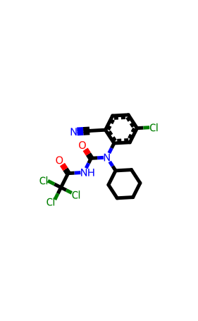 N#Cc1ccc(Cl)cc1N(C(=O)NC(=O)C(Cl)(Cl)Cl)C1CCCCC1